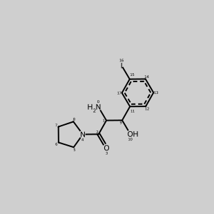 NC(C(=O)N1CCCC1)C(O)c1cccc(I)c1